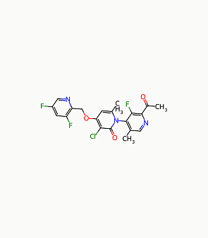 CC(=O)c1ncc(C)c(-n2c(C)cc(OCc3ncc(F)cc3F)c(Cl)c2=O)c1F